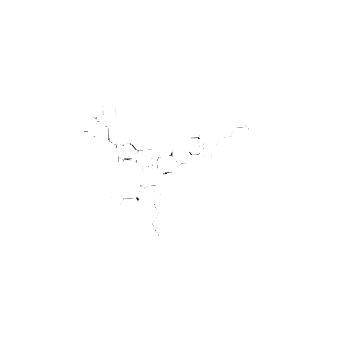 CC(C)C(=O)N[C@@H](CCCCN)C(=O)N[C@@H](Cc1cn(CCP(=O)(O)O)nn1)C(=O)N[C@@H](C)C(=O)N[C@@H](CCCCN)C(=O)O